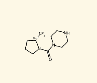 O=C(N1CCNCC1)N1CCC[C@@H]1C(F)(F)F